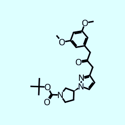 COc1cc(CC(=O)Cc2ccn([C@H]3CCN(C(=O)OC(C)(C)C)C3)n2)cc(OC)c1